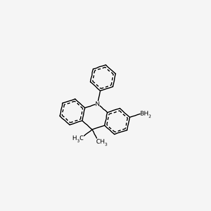 Bc1ccc2c(c1)N(c1ccccc1)c1ccccc1C2(C)C